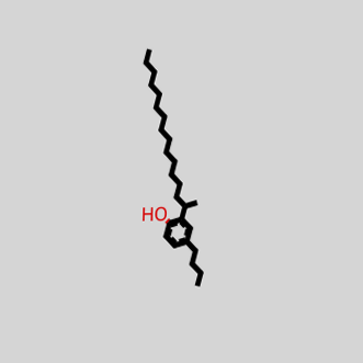 CCCCCCCCCCCCCCC(C)c1cc(CCCC)ccc1O